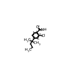 CCCC(C)(C)c1ccc(C([NH])=O)c(Cl)c1